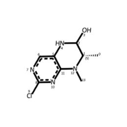 C[C@H]1C(O)Nc2cnc(Cl)nc2N1C